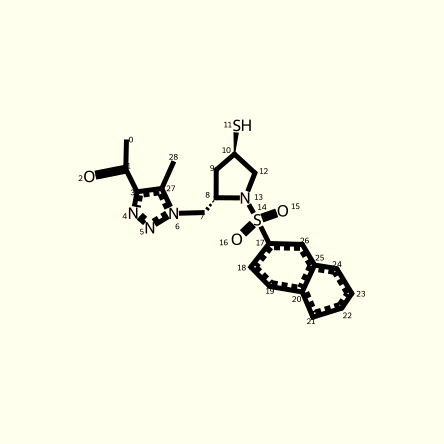 CC(=O)c1nnn(C[C@@H]2C[C@@H](S)CN2S(=O)(=O)c2ccc3ccccc3c2)c1C